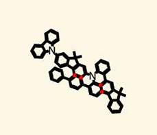 CC1(C)c2ccccc2-c2ccc(-c3ccccc3N(c3ccc4c(c3)C(C)(C)c3cc(-n5c6ccccc6c6ccccc65)ccc3-4)c3ccccc3-c3ccc(-c4ccccc4)cc3)cc21